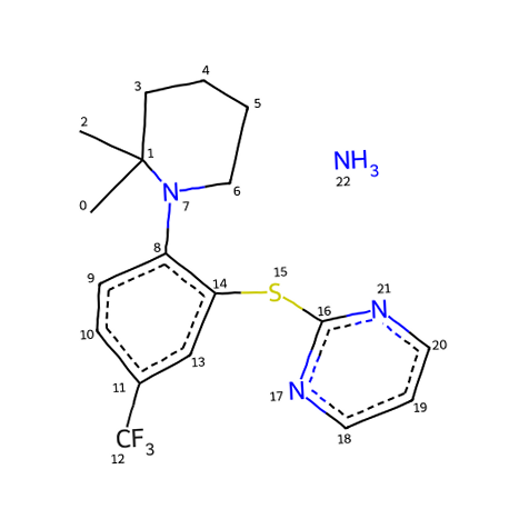 CC1(C)CCCCN1c1ccc(C(F)(F)F)cc1Sc1ncccn1.N